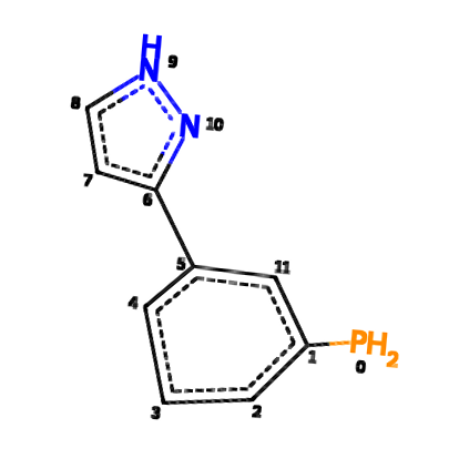 Pc1cccc(-c2cc[nH]n2)c1